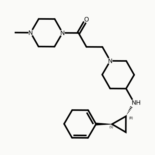 CN1CCN(C(=O)CCN2CCC(N[C@@H]3C[C@H]3C3=CCCC=C3)CC2)CC1